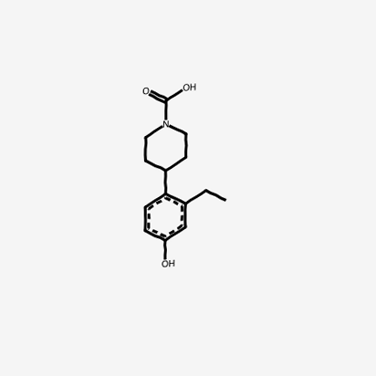 CCc1cc(O)ccc1C1CCN(C(=O)O)CC1